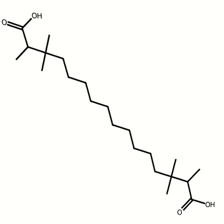 CC(C(=O)O)C(C)(C)CCCCCCCCCCC(C)(C)C(C)C(=O)O